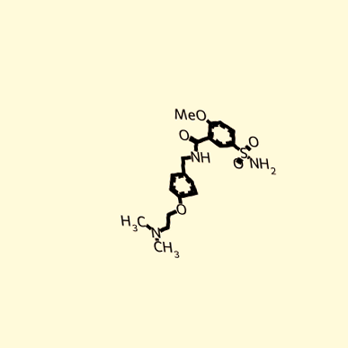 COc1ccc(S(N)(=O)=O)cc1C(=O)NCc1ccc(OCCN(C)C)cc1